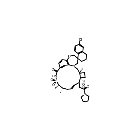 C[C@@H]1[C@@H](C)C/C=C/[C@](O)(CC(=O)N2CCCC2)[C@@H]2CC[C@H]2CN2C[C@@]3(CCCc4cc(Cl)ccc43)COc3ccc(cc32)C(=O)NS1(=O)=O